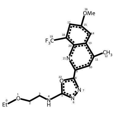 CCOCCNc1nnc(-c2cc(C)c3cc(OC)cc(C(F)(F)F)c3n2)o1